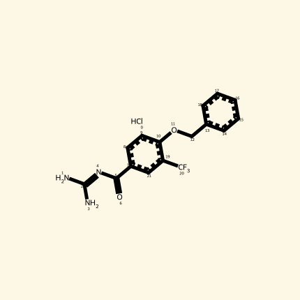 Cl.NC(N)=NC(=O)c1ccc(OCc2ccccc2)c(C(F)(F)F)c1